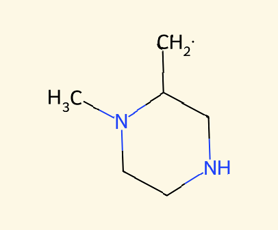 [CH2]C1CNCCN1C